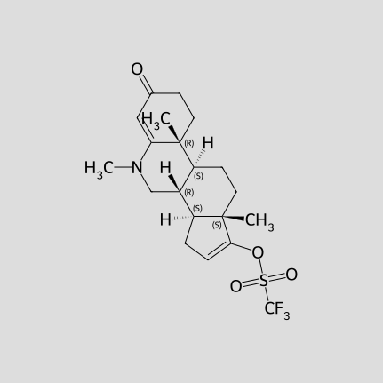 CN1C[C@@H]2[C@H](CC[C@]3(C)C(OS(=O)(=O)C(F)(F)F)=CC[C@@H]23)[C@@]2(C)CCC(=O)C=C12